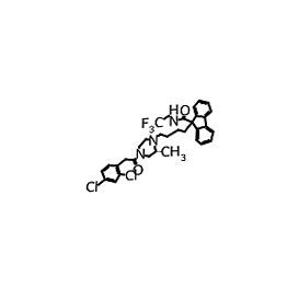 C[C@@H]1CN(C(=O)Cc2ccc(Cl)cc2Cl)CCN1CCCCC1(C(=O)NCC(F)(F)F)c2ccccc2-c2ccccc21